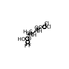 C=C(CCNC(=O)COc1ccc(Cl)c(Cl)c1)NC(=O)[C@H]1C[C@@H](O)c2cc(F)c(F)cc2O1